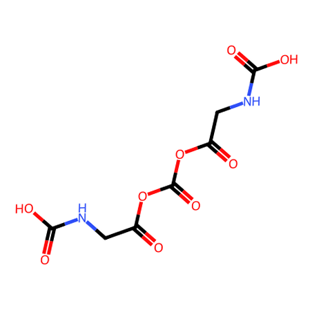 O=C(O)NCC(=O)OC(=O)OC(=O)CNC(=O)O